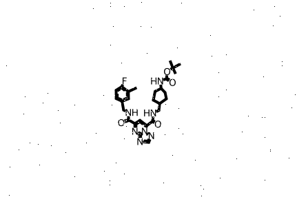 Cc1cc(CNC(=O)c2cc(C(=O)NCC3CCC(NC(=O)OC(C)(C)C)CC3)n3ncnc3n2)ccc1F